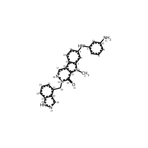 Cn1c2cc(Nc3cccc(N)c3)ccc2c2cnn(Cc3cccc4[nH]ncc34)c(=O)c21